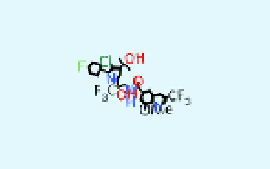 COc1cc(C(=O)NC[C@](O)(c2cc(C(C)(C)O)c(Cl)c(-c3ccc(F)cc3)n2)C(F)(F)F)cc2cc(C(F)(F)F)cnc12